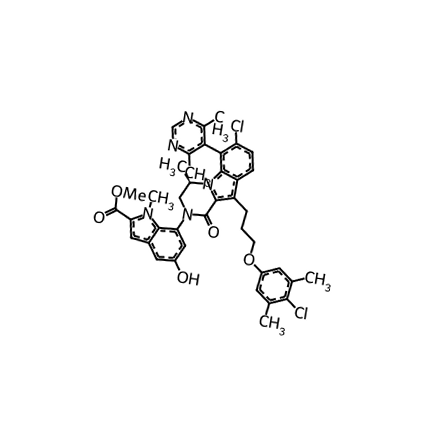 COC(=O)c1cc2cc(O)cc(N3C[C@@H](C)n4c(c(CCCOc5cc(C)c(Cl)c(C)c5)c5ccc(Cl)c(-c6c(C)ncnc6C)c54)C3=O)c2n1C